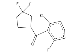 O=C(c1c(F)cccc1Cl)C1CCC(F)(F)C1